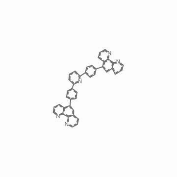 c1cc(-c2ccc(-c3cc4cccnc4c4ncccc34)cc2)nc(-c2ccc(-c3cc4cccnc4c4ncccc34)cc2)c1